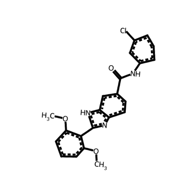 COc1cccc(OC)c1-c1nc2ccc(C(=O)Nc3cccc(Cl)c3)cc2[nH]1